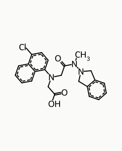 CN(C(=O)CN(CC(=O)O)c1ccc(Cl)c2ccccc12)N1Cc2ccccc2C1